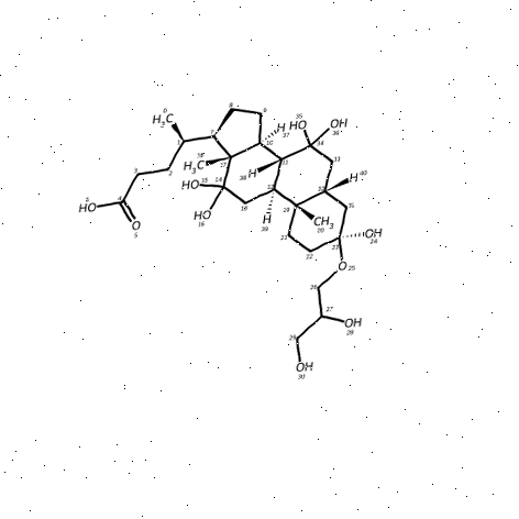 C[C@H](CCC(=O)O)[C@H]1CC[C@H]2[C@H]3[C@H](CC(O)(O)[C@]12C)[C@@]1(C)CC[C@](O)(OCC(O)CO)C[C@H]1CC3(O)O